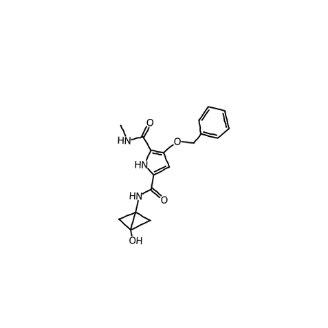 CNC(=O)c1[nH]c(C(=O)NC23CC2(O)C3)cc1OCc1ccccc1